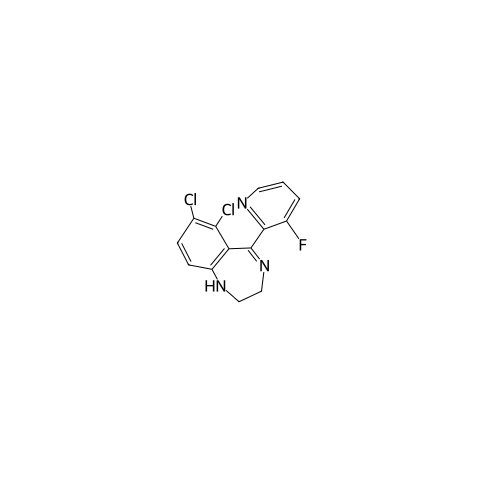 Fc1cccnc1C1=NCCNc2ccc(Cl)c(Cl)c21